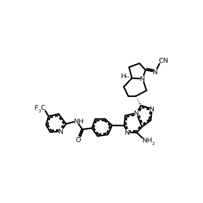 N#C/N=C1\CC[C@@H]2CC[C@@H](c3ncc4c(N)nc(-c5ccc(C(=O)Nc6cc(C(F)(F)F)ccn6)cc5)cn34)CN12